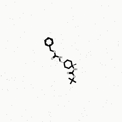 CC(C)(C)OC(=O)N[C@]1(C)CC[C@H](CNC(=O)OCc2ccccc2)CC1